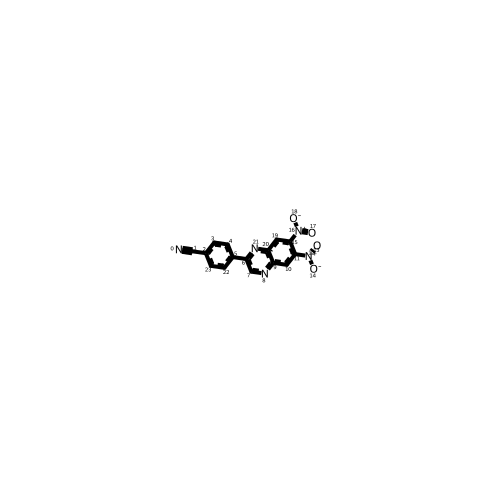 N#Cc1ccc(-c2cnc3cc([N+](=O)[O-])c([N+](=O)[O-])cc3n2)cc1